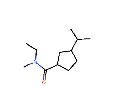 CCN(C)C(=O)C1CCC(C(C)C)C1